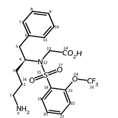 NCCC[C@@H](Cc1ccccc1)N(CC(=O)O)S(=O)(=O)c1ccccc1OC(F)(F)F